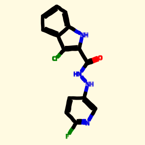 O=C(NNc1ccc(F)nc1)c1[nH]c2ccccc2c1Cl